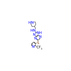 FC(F)(F)c1ncccc1Sc1cnc2[nH]c(NCC3CCNCC3)nc2n1